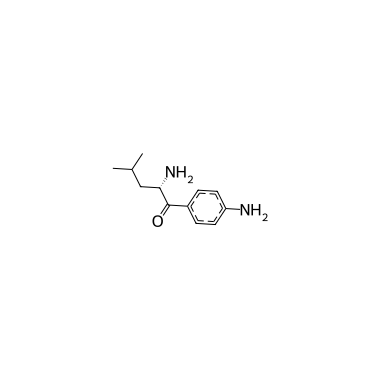 CC(C)C[C@H](N)C(=O)c1ccc(N)cc1